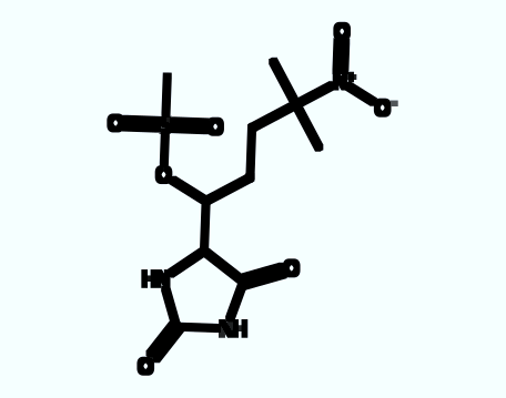 CC(C)(CCC(OS(C)(=O)=O)C1NC(=O)NC1=O)[N+](=O)[O-]